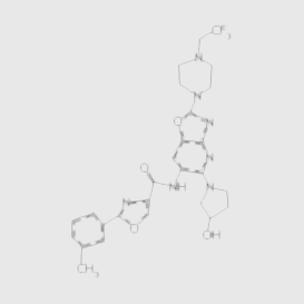 Cc1cccc(-c2nc(C(=O)Nc3cc4oc(N5CCN(CC(F)(F)F)CC5)nc4nc3N3CCC(O)C3)co2)c1